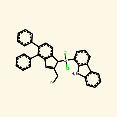 CC(C)CC1=Cc2c(ccc(-c3ccccc3)c2-c2ccccc2)[CH]1[Zr]([Cl])([Cl])[c]1cccc2c1[SiH2]c1ccccc1-2